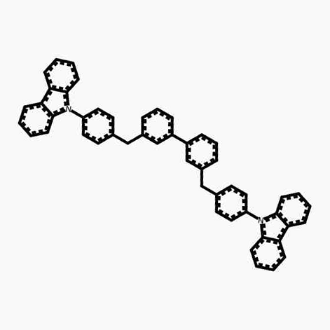 c1cc(Cc2ccc(-n3c4ccccc4c4ccccc43)cc2)cc(-c2cccc(Cc3ccc(-n4c5ccccc5c5ccccc54)cc3)c2)c1